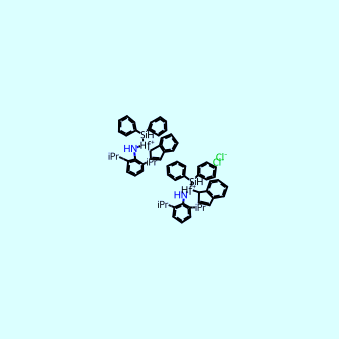 CC(C)c1cccc(C(C)C)c1[NH][Hf+]([CH]1C=Cc2ccccc21)[SiH](c1ccccc1)c1ccccc1.CC(C)c1cccc(C(C)C)c1[NH][Hf+]([CH]1C=Cc2ccccc21)[SiH](c1ccccc1)c1ccccc1.[Cl-].[Cl-]